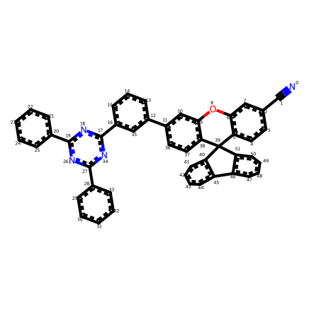 N#Cc1ccc2c(c1)Oc1cc(-c3cccc(-c4nc(-c5ccccc5)nc(-c5ccccc5)n4)c3)ccc1C21c2ccccc2-c2ccccc21